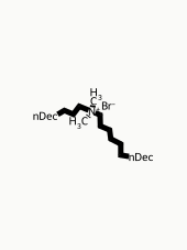 CCCCCCCCCCCCCCCC[N+](C)(C)CCCCCCCCCCCCC.[Br-]